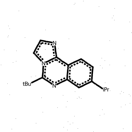 CC(C)c1ccc2c(c1)nc(C(C)(C)C)n1ccnc21